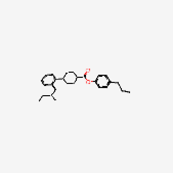 CCCc1ccc(OC(=O)C2CCC(c3ccccc3C[C@@H](C)CC)CC2)cc1